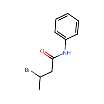 CC(Br)CC(=O)Nc1ccccc1